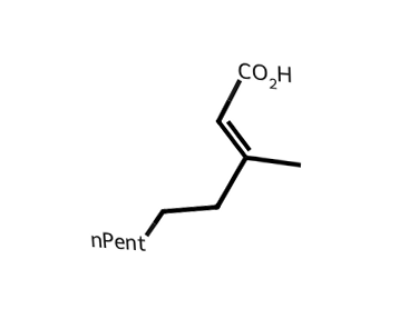 CCCCCCCC(C)=CC(=O)O